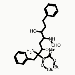 COC(CC(NC=O)C(O)CCc1ccccc1)C(N)(Cc1ccccc1)N(OC(C)(C)C)C(=O)OC(C)(C)C